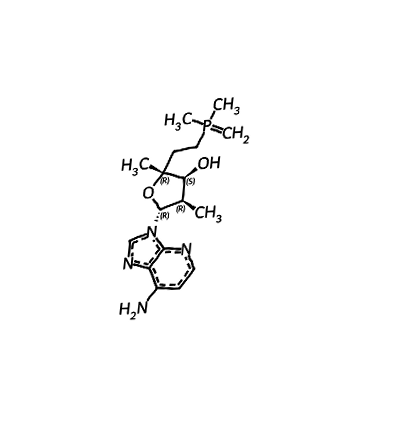 C=P(C)(C)CC[C@@]1(C)O[C@@H](n2cnc3c(N)ccnc32)[C@H](C)[C@@H]1O